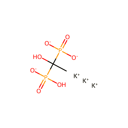 CC(O)(P(=O)([O-])[O-])P(=O)([O-])O.[K+].[K+].[K+]